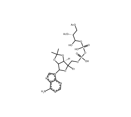 CCC1(COP(=O)(O)OP(=O)(O)OC(O)[C@@H](COC(C)=O)OC(C)=O)OC(n2cnc3c(N)ncnc32)C2OC(C)(C)O[C@H]21